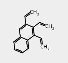 C=Cc1cc2ccccc2c(C=C)c1C=C